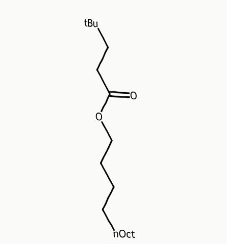 CCCCCCCCCCCCOC(=O)CCC(C)(C)C